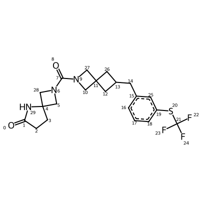 O=C1CCC2(CN(C(=O)N3CC4(CC(Cc5cccc(SC(F)(F)F)c5)C4)C3)C2)N1